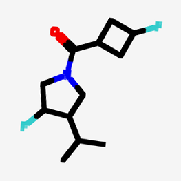 CC(C)C1CN(C(=O)C2CC(F)C2)CC1F